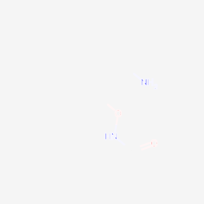 CCc1cccc(N)c1CONC(C)=O